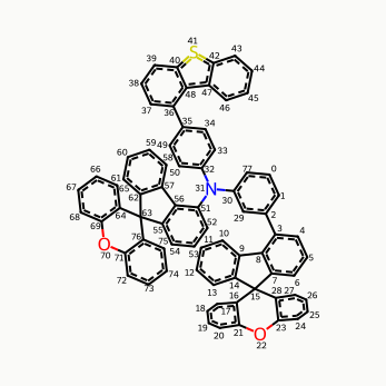 c1cc(-c2cccc3c2-c2ccccc2C32c3ccccc3Oc3ccccc32)cc(N(c2ccc(-c3cccc4sc5ccccc5c34)cc2)c2cccc3c2-c2ccccc2C32c3ccccc3Oc3ccccc32)c1